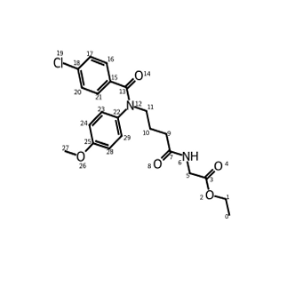 CCOC(=O)CNC(=O)CCCN(C(=O)c1ccc(Cl)cc1)c1ccc(OC)cc1